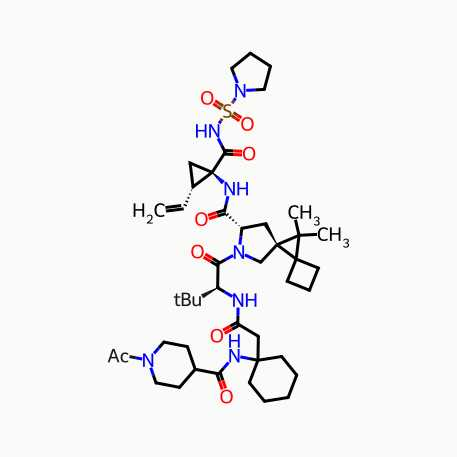 C=C[C@@H]1C[C@]1(NC(=O)[C@@H]1C[C@@]2(CN1C(=O)[C@@H](NC(=O)CC1(NC(=O)C3CCN(C(C)=O)CC3)CCCCC1)C(C)(C)C)C(C)(C)C21CCC1)C(=O)NS(=O)(=O)N1CCCC1